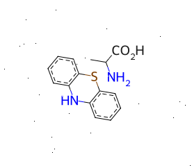 CC(N)C(=O)O.c1ccc2c(c1)Nc1ccccc1S2